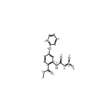 COC(=O)c1ccc(Cl)cc1NC(=O)N=S(=O)=O.c1ccncc1